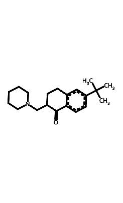 CC(C)(C)c1ccc2c(c1)CCC(CN1CCCCC1)C2=O